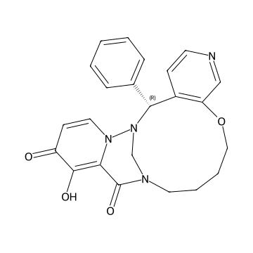 O=C1c2c(O)c(=O)ccn2N2CN1CCCCOc1cnccc1[C@H]2c1ccccc1